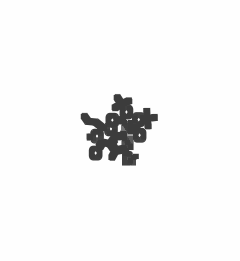 CCCCOc1c(N(C(=O)OC(C)(C)C)C(=O)OC(C)(C)C)nc(Br)c(C)c1C(=O)OC